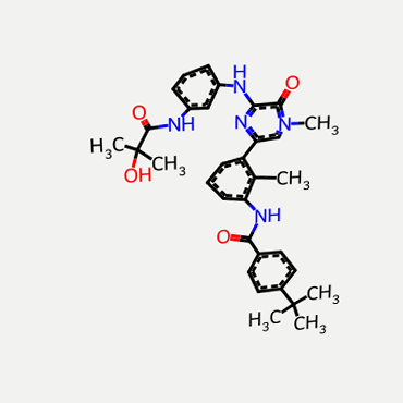 Cc1c(NC(=O)c2ccc(C(C)(C)C)cc2)cccc1-c1cn(C)c(=O)c(Nc2cccc(NC(=O)C(C)(C)O)c2)n1